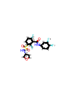 O=C(Nc1ccc(F)c(F)c1)c1c(F)ccc(S(=O)(=O)N[C@H]2CCOC2)c1F